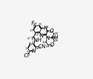 C[C@@H](Nc1ccc(Cl)nc1C#N)c1cc(F)cc2nc3c(nc12)N1CCOC[C@H]1CO3